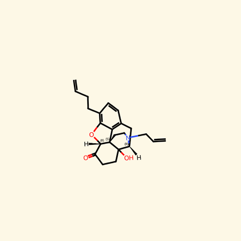 C=CCCc1ccc2c3c1O[C@H]1C(=O)CCC4(O)[C@@H](C2)N(CC=C)CC[C@]314